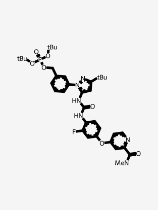 CNC(=O)c1cc(Oc2ccc(NC(=O)Nc3cc(C(C)(C)C)nn3-c3cccc(COP(=O)(OC(C)(C)C)OC(C)(C)C)c3)c(F)c2)ccn1